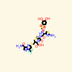 NC(=O)c1cnn2c(C(F)(F)F)cc(SCC3=C(C(=O)O)N4C(=O)[C@@H](NC(=O)C(=NOCS(=O)(=O)c5ccc(O)c(O)c5)c5csc(N)n5)[C@H]4SC3)nc12